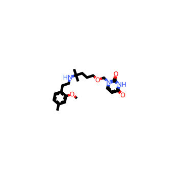 COc1cc(C)ccc1CCNC(C)(C)CCCOCn1ccc(=O)[nH]c1=O